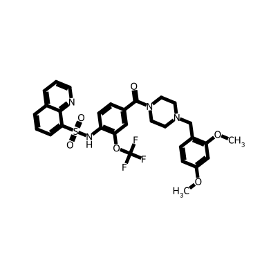 COc1ccc(CN2CCN(C(=O)c3ccc(NS(=O)(=O)c4cccc5cccnc45)c(OC(F)(F)F)c3)CC2)c(OC)c1